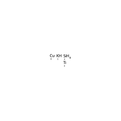 [Cu].[KH].[SiH4].[Ti]